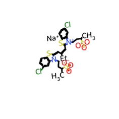 CCC(=Cc1sc2ccc(Cl)cc2[n+]1CCC(C)S(=O)(=O)[O-])C=C1Sc2ccc(Cl)cc2N1CCC(C)S(=O)(=O)[O-].[Na+]